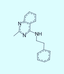 Cc1nc(NCCc2ccccc2)c2ccccc2n1